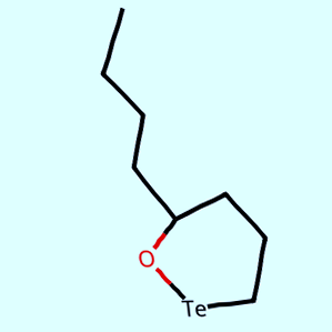 CCCCC1CCC[Te]O1